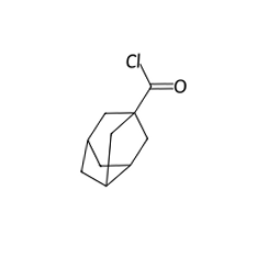 O=C(Cl)C12CC3CC(C1)C(C3)C2